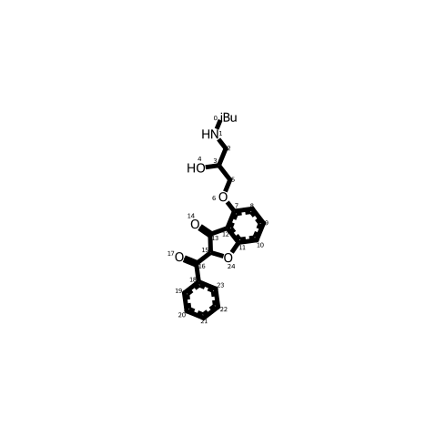 CCC(C)NCC(O)COc1cccc2c1C(=O)C(C(=O)c1ccccc1)O2